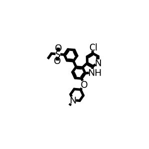 CCS(=O)(=O)c1cccc(-c2ccc(OC3CCN(C)CC3)c3[nH]c4ncc(Cl)cc4c23)c1